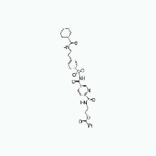 CC(C)C(=O)OCCNC(=O)c1ccc(C(=O)NS(=O)(=O)c2ccc(CCNC(=O)C3CCCCC3)cc2)cn1